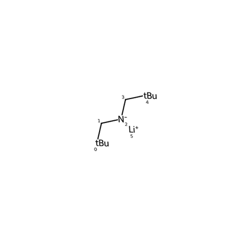 CC(C)(C)C[N-]CC(C)(C)C.[Li+]